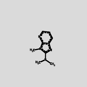 CN(C)c1nc2c[c]cnc2n1C